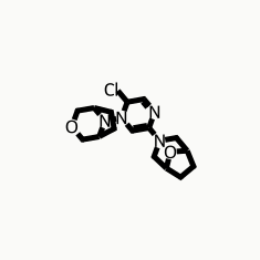 ClC1C=NC(N2CC3CCC(C2)O3)=CN1N1C2CCC1COC2